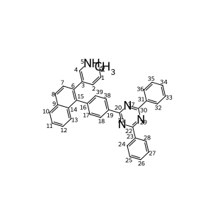 C/C=C\C(=C/N)c1ccc2ccccc2c1-c1ccc(-c2nc(-c3ccccc3)nc(-c3ccccc3)n2)cc1